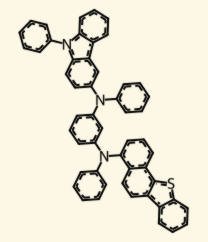 c1ccc(N(c2cccc(N(c3ccccc3)c3cccc4c3ccc3c5ccccc5sc43)c2)c2ccc3c(c2)c2ccccc2n3-c2ccccc2)cc1